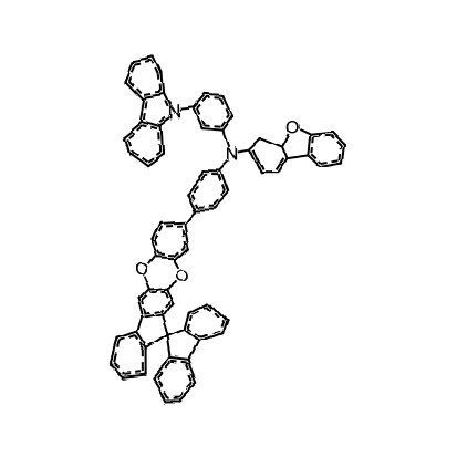 C1=C2c3ccccc3OC2CC(N(c2ccc(-c3ccc4c(c3)Oc3cc5c(cc3O4)-c3ccccc3C53c4ccccc4-c4ccccc43)cc2)c2cccc(-n3c4ccccc4c4ccccc43)c2)=C1